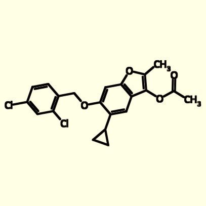 CC(=O)Oc1c(C)oc2cc(OCc3ccc(Cl)cc3Cl)c(C3CC3)cc12